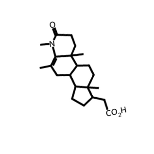 CC1=C2N(C)C(=O)CCC2(C)C2CCC3(C)C(CC(=O)O)CCC3C2C1